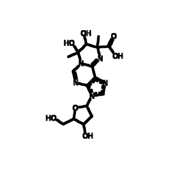 CC1(C(=O)O)N=C2c3ncn(C4CC(O)C(CO)O4)c3N=CN2C(C)(O)C1O